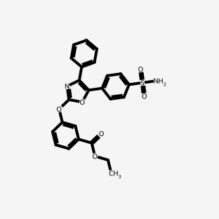 CCOC(=O)c1cccc(Oc2nc(-c3ccccc3)c(-c3ccc(S(N)(=O)=O)cc3)o2)c1